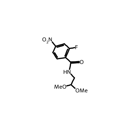 COC(CNC(=O)c1ccc([N+](=O)[O-])cc1F)OC